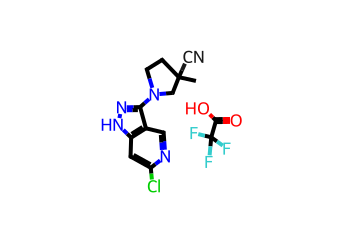 CC1(C#N)CCN(c2n[nH]c3cc(Cl)ncc23)C1.O=C(O)C(F)(F)F